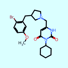 COc1ccc(Br)c(CC2CCN(Cc3cc(=O)n(C4CCCCC4)c(=O)[nH]3)C2)c1